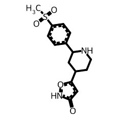 CS(=O)(=O)c1ccc(C2CC(c3cc(=O)[nH]o3)CCN2)cc1